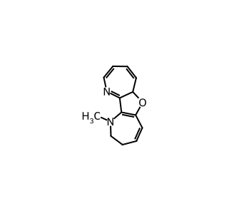 CN1CCC=CC2=C1C1=NC=CC=CC1O2